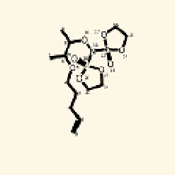 C=CCCCOC(C)C(C)ON(P1(=O)OCCO1)P1(=O)OCCO1